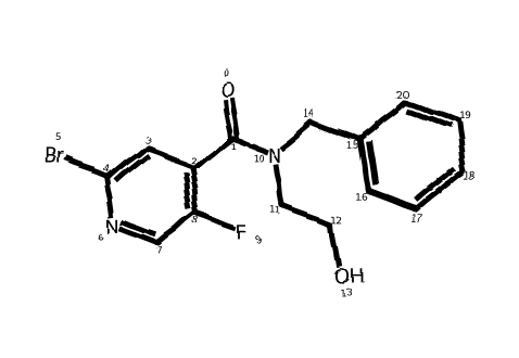 O=C(c1cc(Br)ncc1F)N(CCO)Cc1ccccc1